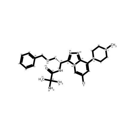 CN1CCN(c2cc(Cl)cn3c([C@@H](COCc4ccccc4)NC(=O)C(C)(C)N)nnc23)CC1